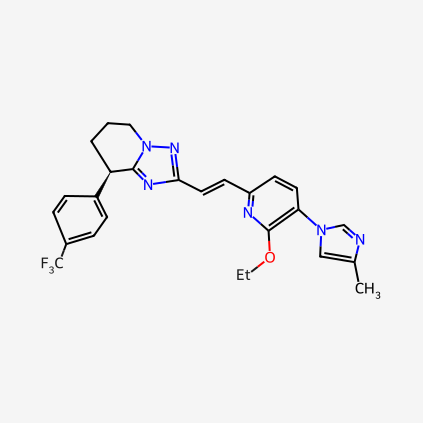 CCOc1nc(/C=C/c2nc3n(n2)CCC[C@@H]3c2ccc(C(F)(F)F)cc2)ccc1-n1cnc(C)c1